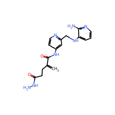 C=C(CCC(=O)NN)C(=O)Nc1ccnc(CNc2cccnc2N)c1